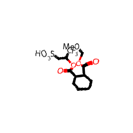 COCOC(=O)C1CCCCC1C(=O)OC(CS(=O)(=O)O)C(F)(F)F